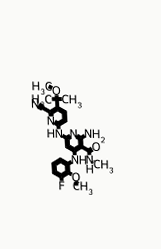 CNC(=O)c1c(Nc2cccc(F)c2OC)cc(Nc2ccc(C(C)(C)OC)c(C#N)n2)nc1N